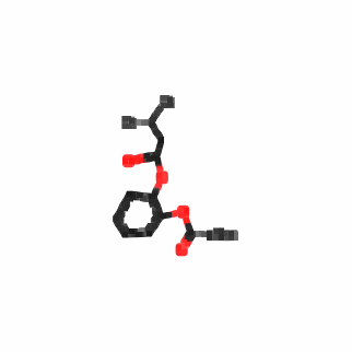 CCCCCCCCCC(=O)Oc1ccccc1OC(=O)CC(CC)CC